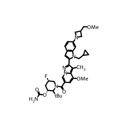 COCC1CN(c2ccc3cc(-c4nn5cc(C(=O)N6C[C@H](F)C[C@@H](OC(N)=O)C6C(C)(C)C)cc(OC)c5c4C)n(CC4CC4)c3c2)C1